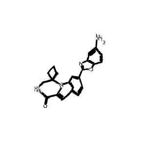 Nc1ccc2oc(-c3ccc4cc5n(c4c3)C3(CCC3)CNC5=O)nc2c1